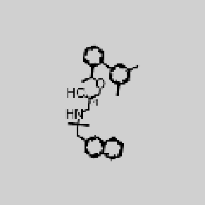 Cc1cc(C)cc(-c2ccccc2C(C)OC[C@H](O)CNC(C)(C)Cc2ccc3ccccc3c2)c1